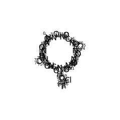 CC[C@H](C)[C@@H]1NC(=O)[C@H](C)N(C)C(=O)C[C@@H](C)N(C)C(=O)[C@H](C2CCCCC2)N(C)C(=O)C(C)(C)N(C)C(=O)[C@@H]2CCCN2C(=O)[C@H](CCc2ccc(C(F)(F)F)c(Cl)c2)NC(=O)CN(C)C(=O)[C@H](CC2CCCCC2)N(C)C(=O)[C@@H]2CCN2C(=O)[C@H](C)N(C)C1=O